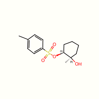 Cc1ccc(S(=O)(=O)O[C@H]2CCCC[C@@]2(C)O)cc1